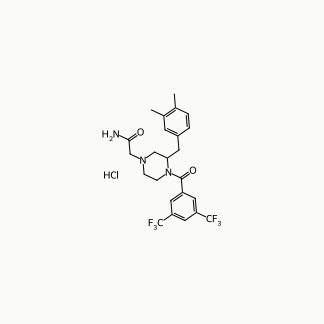 Cc1ccc(CC2CN(CC(N)=O)CCN2C(=O)c2cc(C(F)(F)F)cc(C(F)(F)F)c2)cc1C.Cl